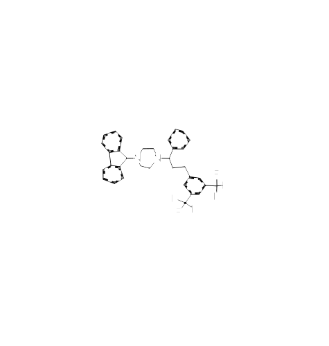 FC(F)(F)c1cc(C[CH]C(c2ccccc2)N2CCN(C3c4ccccc4-c4ccccc43)CC2)cc(C(F)(F)F)c1